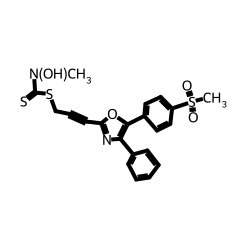 CN(O)C(=S)SCC#Cc1nc(-c2ccccc2)c(-c2ccc(S(C)(=O)=O)cc2)o1